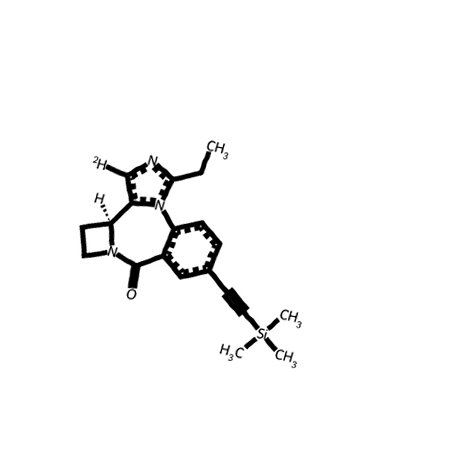 [2H]c1nc(CC)n2c1[C@@H]1CCN1C(=O)c1cc(C#C[Si](C)(C)C)ccc1-2